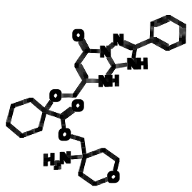 NC1(COC(=O)C2(OCC3=CC(=O)N4N=C(c5ccccc5)NC4N3)CCCCC2)CCOCC1